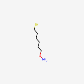 NOCCCCCCS